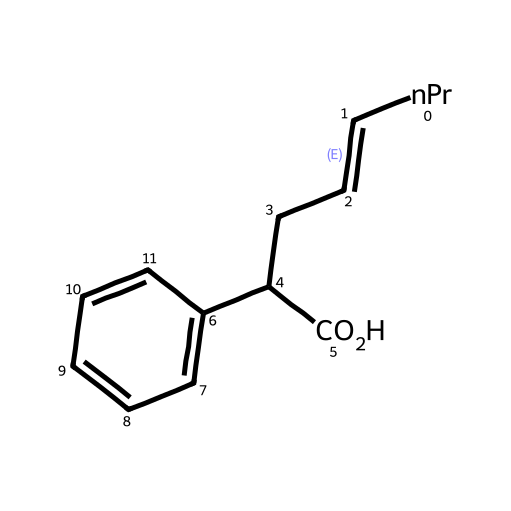 CCC/C=C/CC(C(=O)O)c1ccccc1